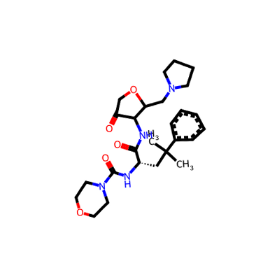 CC(C)(C[C@H](NC(=O)N1CCOCC1)C(=O)NC1C(=O)COC1CN1CCCC1)c1ccccc1